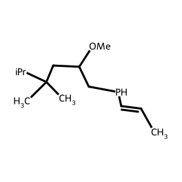 CC=CPCC(CC(C)(C)C(C)C)OC